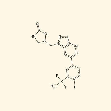 CC(F)(F)c1cc(-c2cnc3cnn(CC4CNC(=O)O4)c3c2)ccc1F